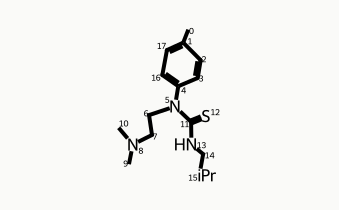 Cc1ccc(N(CCN(C)C)C(=S)NCC(C)C)cc1